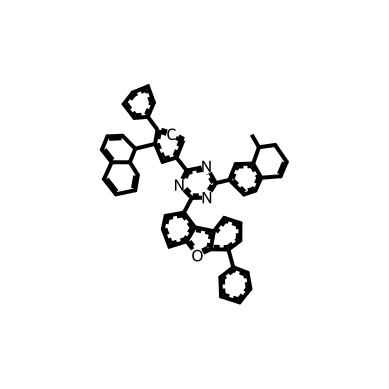 CC1CC=Cc2ccc(-c3nc(-c4ccc(-c5ccccc5)c(C5C=CC=C6C=CC=CC65)c4)nc(-c4cccc5oc6c(-c7ccccc7)cccc6c45)n3)cc21